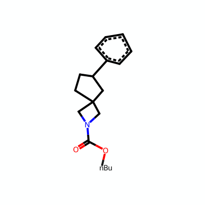 CCCCOC(=O)N1CC2(CCC(c3ccccc3)C2)C1